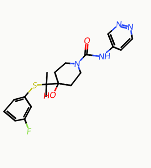 CC(C)(Sc1cccc(F)c1)C1(O)CCN(C(=O)Nc2ccnnc2)CC1